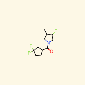 CC1CN(C(=O)C2CCC(F)(F)C2)CC1F